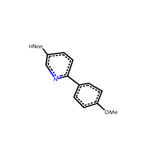 CCCCCCCCCc1ccc(-c2ccc(OC)cc2)nc1